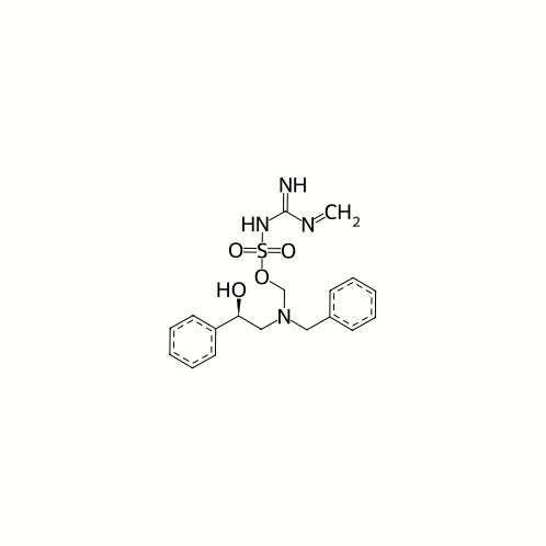 C=NC(=N)NS(=O)(=O)OCN(Cc1ccccc1)C[C@H](O)c1ccccc1